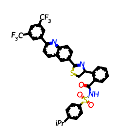 CC(C)c1ccc(S(=O)(=O)NC(=O)c2ccccc2C2CSC(c3ccc4nc(-c5cc(C(F)(F)F)cc(C(F)(F)F)c5)ccc4c3)=N2)cc1